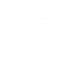 COc1ccc(CN2CCC[C@](c3cccc(O)c3)(N(C)C)CCN(CC3CCC3)C2=O)cc1